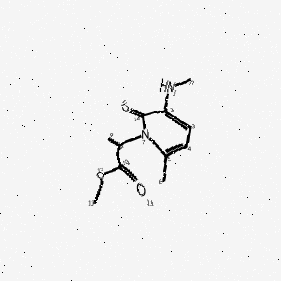 CNc1ccc(C)n(C(C)C(=O)OC)c1=O